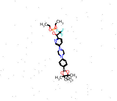 CCOP(OCC)OC(c1ccc(N2CCN(c3ccc(B4OC(C)(C)C(C)(C)O4)cc3)CC2)cn1)C(F)(F)F